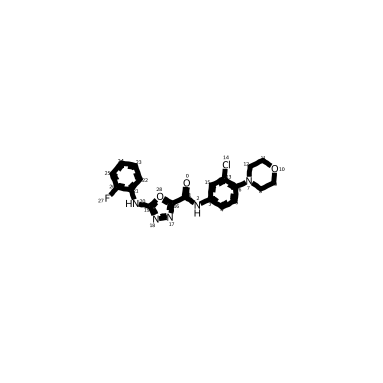 O=C(Nc1ccc(N2CCOCC2)c(Cl)c1)c1nnc(Nc2ccccc2F)o1